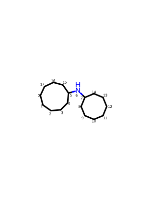 C1CCCCC(NC2CCCCCCC2)CCC1